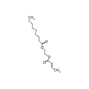 C/C=C/C(=O)OCCOC(=O)CCCCCCCC